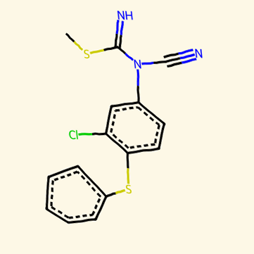 CSC(=N)N(C#N)c1ccc(Sc2ccccc2)c(Cl)c1